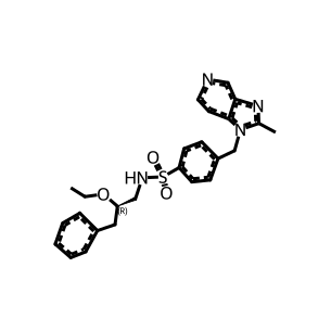 CCO[C@@H](CNS(=O)(=O)c1ccc(Cn2c(C)nc3cnccc32)cc1)Cc1ccccc1